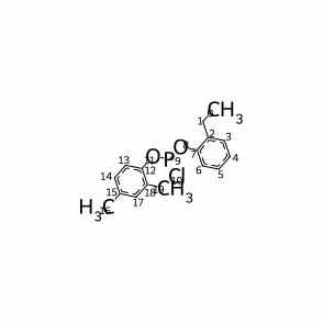 CCc1ccccc1OP(Cl)Oc1ccc(C)cc1C